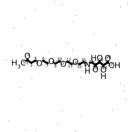 CC(=O)CCOCCOCCOCCOCCNCC(=O)C(O)C(O)C(=O)O